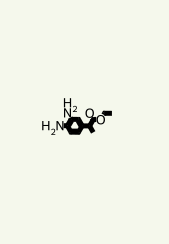 CCOC(=O)C(C)c1ccc(N)c(N)c1